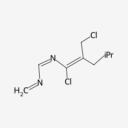 C=N/C=N\C(Cl)=C(/CCl)CC(C)C